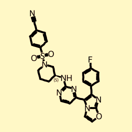 N#Cc1ccc(S(=O)(=O)N2CCC[C@H](Nc3nccc(-c4c(-c5ccc(F)cc5)nc5occn45)n3)C2)cc1